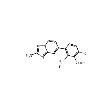 Cc1c(-c2ccn3nc(N)nc3c2)ccc(Cl)c1C(=O)[O-].[Li+]